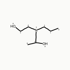 CCCN(CCO)C(C)O